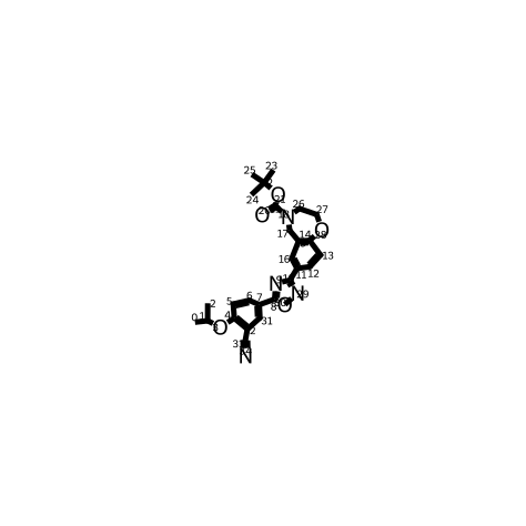 CC(C)Oc1ccc(-c2nc(-c3ccc4c(c3)CN(C(=O)OC(C)(C)C)CCO4)no2)cc1C#N